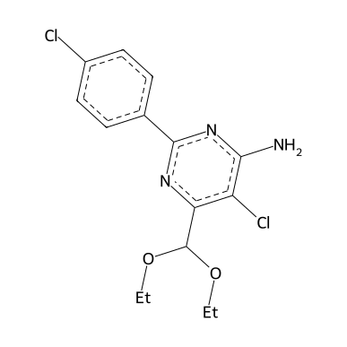 CCOC(OCC)c1nc(-c2ccc(Cl)cc2)nc(N)c1Cl